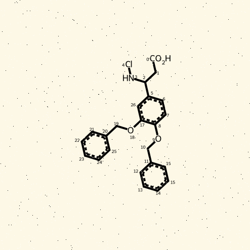 O=C(O)CC(NCl)c1ccc(OCc2ccccc2)c(OCc2ccccc2)c1